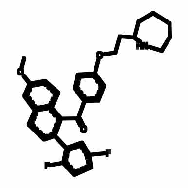 COc1ccc2c(C(=O)c3ccc(OCCC4CCCCCN4)cc3)c(-c3cc(F)ccc3F)ccc2c1